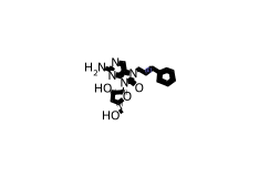 Nc1ncc2c(n1)n([C@@H]1O[C@H](CO)C[C@H]1O)c(=O)n2C/C=C/c1ccccc1